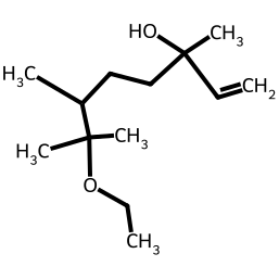 C=CC(C)(O)CCC(C)C(C)(C)OCC